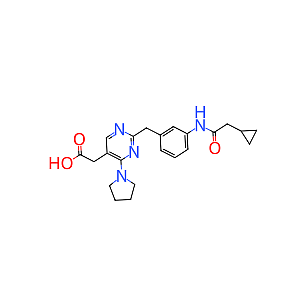 O=C(O)Cc1cnc(Cc2cccc(NC(=O)CC3CC3)c2)nc1N1CCCC1